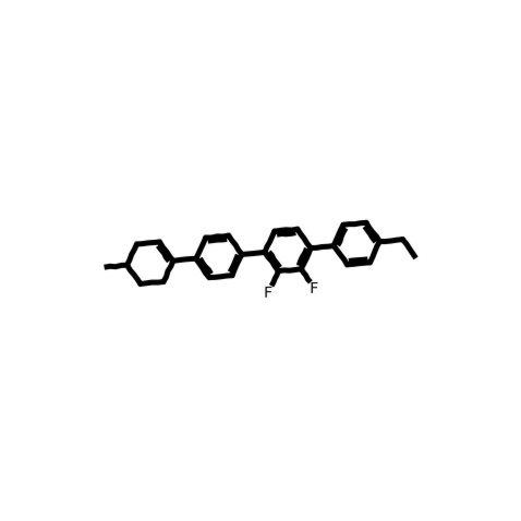 CCc1ccc(-c2ccc(-c3ccc(C4=CCC(C)CC4)cc3)c(F)c2F)cc1